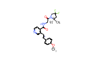 CC[C@@]1(C#N)CC(F)(F)CN1C(=O)CNC(=O)c1ccncc1/C=C/c1ccc(OC(F)(F)F)cc1